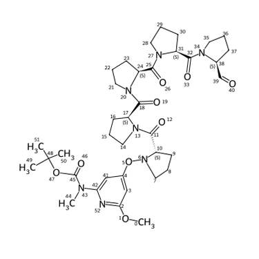 COc1cc(ON2CCC[C@H]2C(=O)N2CCC[C@H]2C(=O)N2CCC[C@H]2C(=O)N2CCC[C@H]2C(=O)N2CCC[C@H]2C=O)cc(N(C)C(=O)OC(C)(C)C)n1